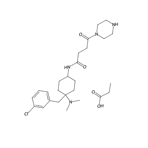 CCC(=O)O.CN(C)C1(Cc2cccc(Cl)c2)CCC(NC(=O)CCC(=O)N2CCNCC2)CC1